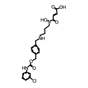 O=C(O)/C=C/C(=O)N(O)CCCCNCc1ccc(COC(=O)Nc2cccc(Cl)c2)cc1